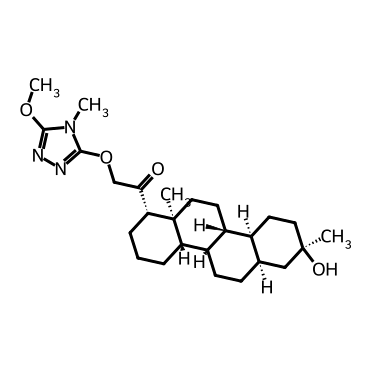 COc1nnc(OCC(=O)[C@H]2CCC[C@H]3[C@@H]4CC[C@@H]5C[C@](C)(O)CC[C@@H]5[C@H]4CC[C@]23C)n1C